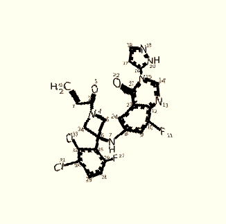 C=CC(=O)N1CC(Nc2cc(F)c3ncn(-c4ccn[nH]4)c(=O)c3c2)(c2c(F)ccc(Cl)c2Cl)C1